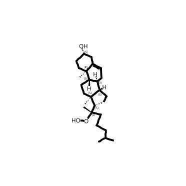 CC(C)CCC[C@](C)(OO)[C@H]1CC[C@H]2[C@@H]3CC=C4C[C@@H](O)CC[C@]4(C)[C@H]3CC[C@@]21C